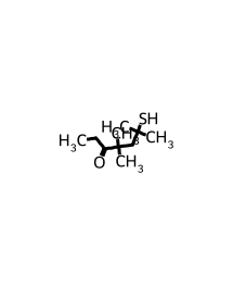 CCC(=O)C(C)(C)CC(C)(C)S